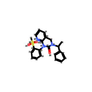 CC(c1ccccc1)N1Cc2cccnc2N(c2ccccc2S(C)(=O)=O)C1=O